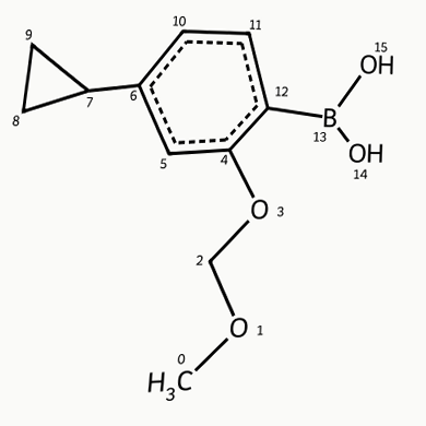 COCOc1cc(C2CC2)ccc1B(O)O